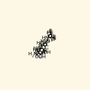 C[C@H]1c2ccc(NC(=O)Nc3cc(C(F)(F)F)cc(C(F)(F)F)c3)c(O)c2C(=O)C2=C(O)[C@]3(O)C(=O)C(C(N)=O)=C(O)C[C@@H]3[C@@H](O)[C@@H]21